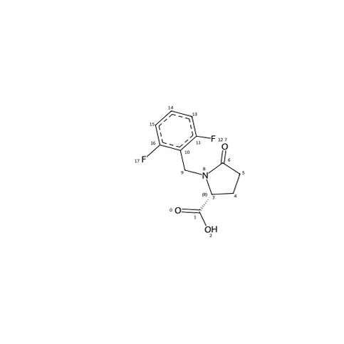 O=C(O)[C@H]1CCC(=O)N1Cc1c(F)cccc1F